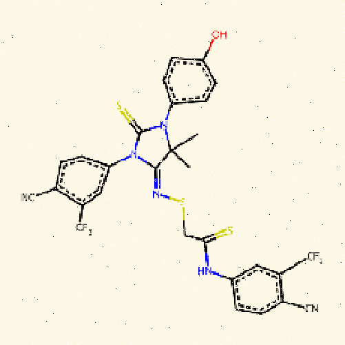 CC1(C)/C(=N\SCC(=S)Nc2ccc(C#N)c(C(F)(F)F)c2)N(c2ccc(C#N)c(C(F)(F)F)c2)C(=S)N1c1ccc(O)cc1